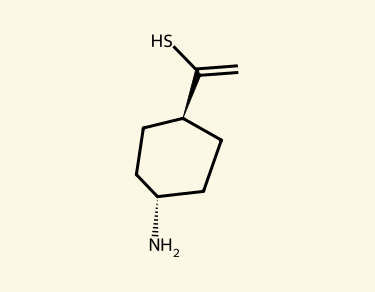 C=C(S)[C@H]1CC[C@H](N)CC1